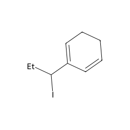 CCC(I)C1=CCCC=C1